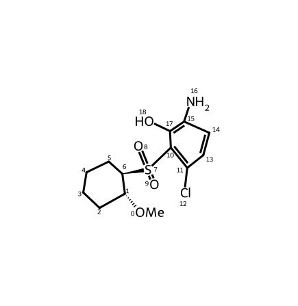 CO[C@@H]1CCCC[C@H]1S(=O)(=O)c1c(Cl)ccc(N)c1O